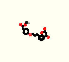 CC(C)(C)OC(=O)CC1CCC(OCCCc2cccc3c2OC(=O)CC3=O)CC1